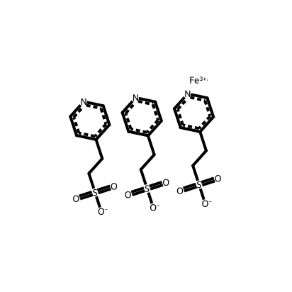 O=S(=O)([O-])CCc1ccncc1.O=S(=O)([O-])CCc1ccncc1.O=S(=O)([O-])CCc1ccncc1.[Fe+3]